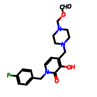 O=COCN1CCN(Cc2ccn(Cc3ccc(F)cc3)c(=O)c2O)CC1